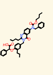 CCCCOC(=O)N(Cc1ccccc1)c1ccc2nc(CCCC)n(Cc3ccc(OC(C(=O)O)c4ccccc4)c(CCC)c3)c(=O)c2c1